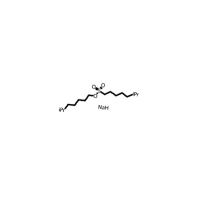 CC(C)CCCCCOS(=O)(=O)CCCCCC(C)C.[NaH]